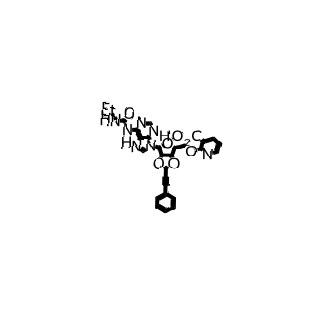 CCNC(=O)Nc1ncnc2c1ncn2C1OC(COc2ncccc2C(=O)O)C2OC(C#Cc3ccccc3)OC21